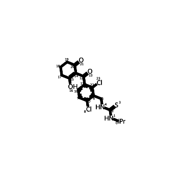 CC(C)NC(=S)NCc1c(Cl)ccc(C(=O)C2=C(O)CCCC2=O)c1Cl